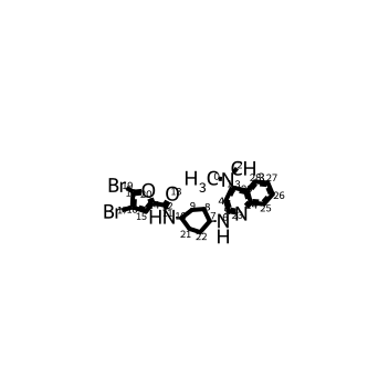 CN(C)c1cc(N[C@H]2CC[C@@H](NC(=O)c3cc(Br)c(Br)o3)CC2)nc2ccccc12